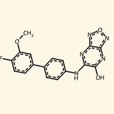 COc1cc(-c2ccc(Nc3nc4nonc4nc3O)cc2)ccc1F